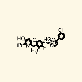 Cc1cc(OC[PH]2(O)OCCC(c3cccc(Cl)c3)O2)c(F)c(C)c1Cc1ccc(O)c(C(C)C)n1